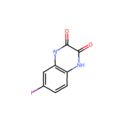 O=C1[N]c2cc(I)ccc2NC1=O